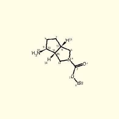 CC(C)(C)OC(=O)N1C[C@H]2CC[C@H](N)[C@H]2C1